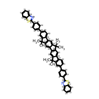 CC1(C)c2cc(-c3ccc(-c4nc5ccccc5s4)cc3)ccc2-c2cc3c(cc21)-c1cc2c(cc1C3(C)C)-c1ccc(-c3ccc(-c4nc5ccccc5s4)cc3)cc1C2(C)C